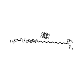 CC=COOOOOOOOOCCCCCCCCCCCCCCCC(C)C.O=P(O)(O)O